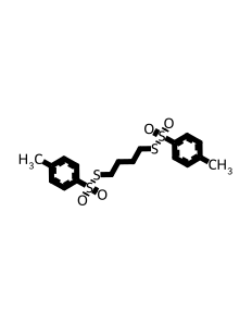 Cc1ccc(S(=O)(=O)SCCCCSS(=O)(=O)c2ccc(C)cc2)cc1